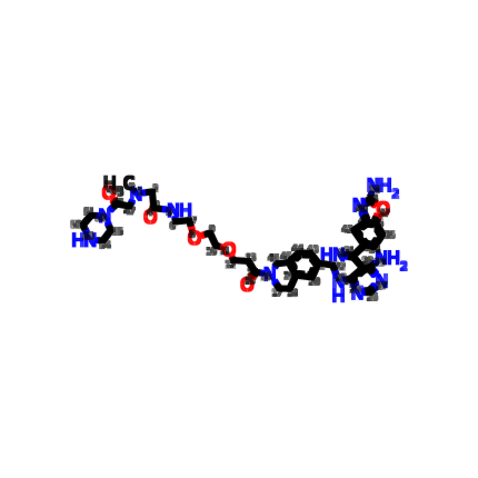 CN(CC(=O)NCCOCCOCCC(=O)N1CCc2cc(CNc3ncnc(N)c3C(=N)c3ccc4oc(N)nc4c3)ccc2C1)CC(=O)N1CCNCC1